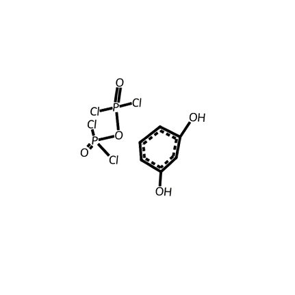 O=P(Cl)(Cl)OP(=O)(Cl)Cl.Oc1cccc(O)c1